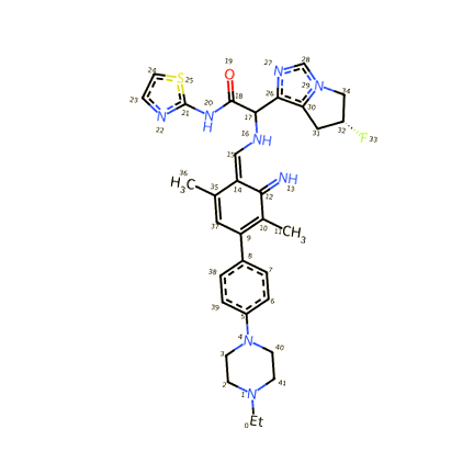 CCN1CCN(c2ccc(C3=C(C)C(=N)/C(=C\NC(C(=O)Nc4nccs4)c4ncn5c4C[C@@H](F)C5)C(C)=C3)cc2)CC1